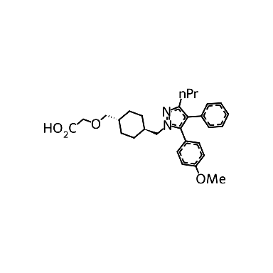 CCCc1nn(C[C@H]2CC[C@H](COCC(=O)O)CC2)c(-c2ccc(OC)cc2)c1-c1ccccc1